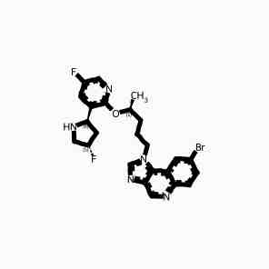 C[C@@H](CCCn1cnc2cnc3ccc(Br)cc3c21)Oc1ncc(F)cc1[C@H]1C[C@H](F)CN1